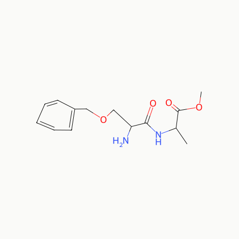 COC(=O)C(C)NC(=O)C(N)COCc1ccccc1